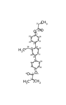 C=C(C)C(=O)Oc1ccc(-c2ccc(-c3ccc(OC(=O)CC)cc3)c(CC)c2)cc1